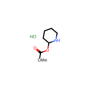 COC(=O)OC1CCCCN1.Cl